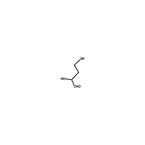 O=CC(O)CCS